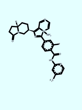 N[N+]12C=CN=CC1=C([C@@H]1CC[C@H]3CCC(=O)N3C1)N=C2c1ccc(C(=O)Nc2cc(C(F)(F)F)ccn2)c(F)c1